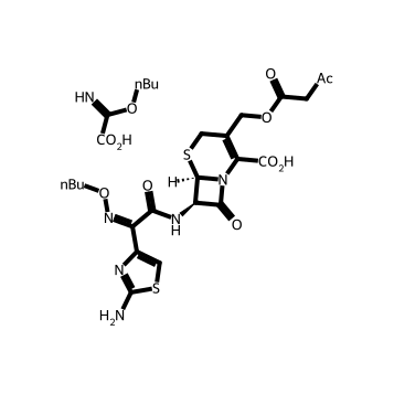 CCCCO/N=C(\C(=O)N[C@@H]1C(=O)N2C(C(=O)O)=C(COC(=O)CC(C)=O)CS[C@H]12)c1csc(N)n1.CCCCOC(=N)C(=O)O